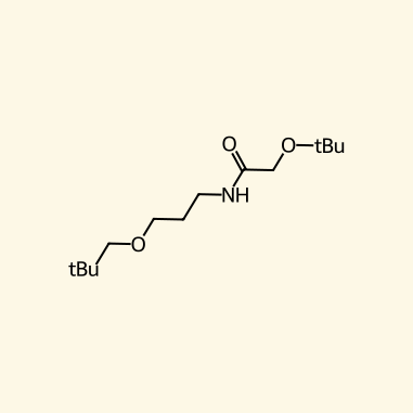 CC(C)(C)COCCCNC(=O)COC(C)(C)C